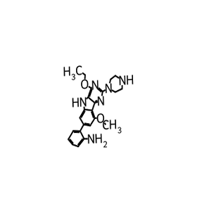 CCOc1nc(N2CCNCC2)nc2c1[nH]c1cc(-c3ccccc3N)cc(OC)c12